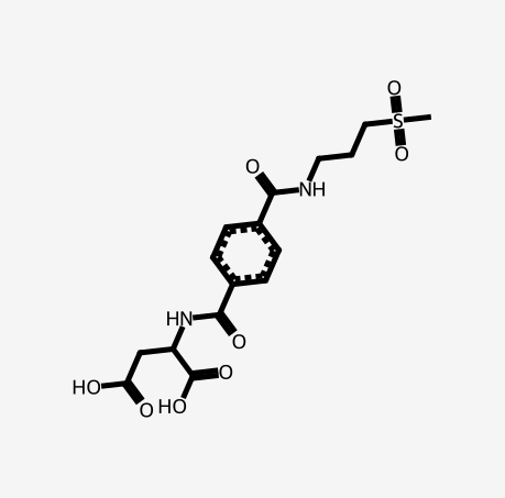 CS(=O)(=O)CCCNC(=O)c1ccc(C(=O)NC(CC(=O)O)C(=O)O)cc1